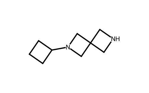 C1CC(N2CC3(CNC3)C2)C1